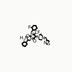 Cc1c(N2CCN(Cc3cscn3)CC2)c(=O)n(C[C@@H](N)c2ccccc2)c(=O)n1Cc1c(F)cccc1C(F)(F)F